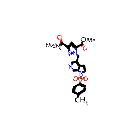 CNC(=O)c1cc(C(=O)OC)n(Cc2cncc3c2ccn3S(=O)(=O)c2ccc(C)cc2)n1